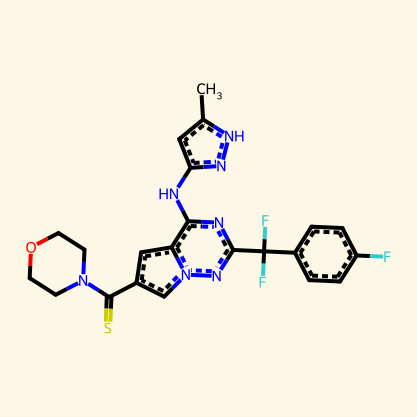 Cc1cc(Nc2nc(C(F)(F)c3ccc(F)cc3)nn3cc(C(=S)N4CCOCC4)cc23)n[nH]1